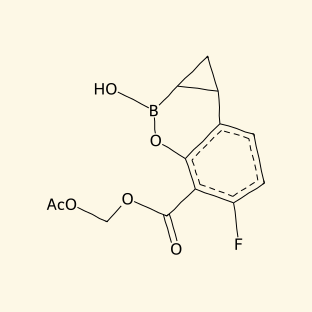 CC(=O)OCOC(=O)c1c(F)ccc2c1OB(O)C1CC21